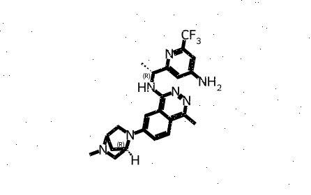 Cc1nnc(N[C@H](C)c2cc(N)cc(C(F)(F)F)n2)c2cc(N3CC4C[C@@H]3CN4C)ccc12